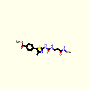 CNC(=O)c1ccc(-c2sc(NC(=O)NCCC(=O)NC(C)(C)C)nc2C)cc1